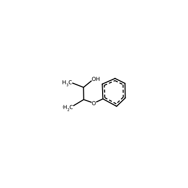 [CH2]C(Oc1ccccc1)C(C)O